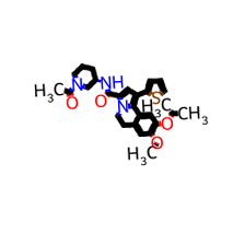 COc1cc2c(cc1OC(C)C)-c1c(-c3cccs3)cc(C(=O)N[C@@H]3CCCN(C(C)=O)C3)n1CC2